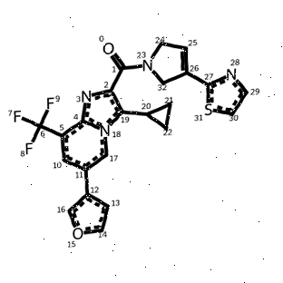 O=C(c1nc2c(C(F)(F)F)cc(-c3ccoc3)cn2c1C1CC1)N1CC=C(c2nccs2)C1